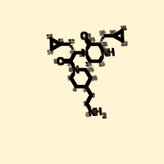 NCCC1CCN(C(=O)[C@H](CC2CC2)N2CCN[C@@H](CC3CC3)C2=O)CC1